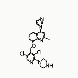 Cc1cc(-n2ccnc2)c2cccc(OCc3c(Cl)cnc(N4CCNCC4)c3Cl)c2n1